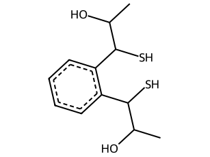 CC(O)C(S)c1ccccc1C(S)C(C)O